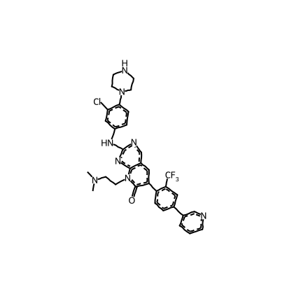 CN(C)CCn1c(=O)c(-c2ccc(-c3cccnc3)cc2C(F)(F)F)cc2cnc(Nc3ccc(N4CCNCC4)c(Cl)c3)nc21